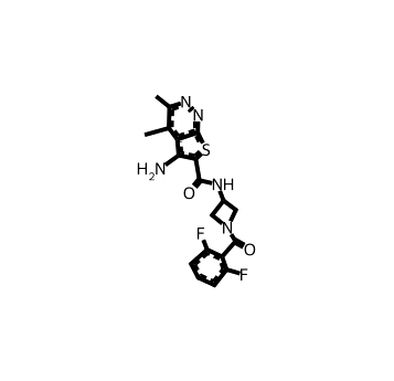 Cc1nnc2sc(C(=O)NC3CN(C(=O)c4c(F)cccc4F)C3)c(N)c2c1C